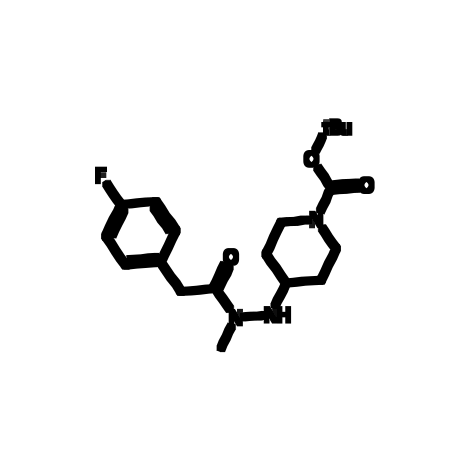 CN(NC1CCN(C(=O)OC(C)(C)C)CC1)C(=O)Cc1ccc(F)cc1